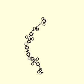 C=C(C)C(=O)OCCC1=CC=C(N2C(=O)c3ccc(Oc4ccc(C(C)(C)c5ccc(Oc6ccc7c(c6)C(=O)N(c6ccc(CCOC(=O)CCCCCN8C(=O)C=CC8=O)cc6)C7=O)cc5)cc4)cc3C2=O)CC1